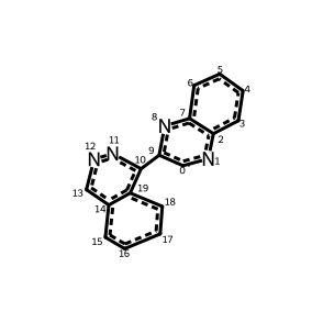 [c]1nc2ccccc2nc1-c1nncc2ccccc12